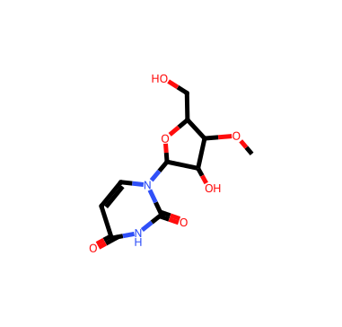 COC1C(CO)OC(n2ccc(=O)[nH]c2=O)C1O